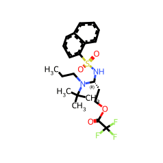 CCCN([C@@H](CCOC(=O)C(F)(F)F)NS(=O)(=O)c1cccc2ccccc12)C(C)(C)C